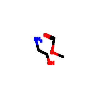 COC=O.NCCO